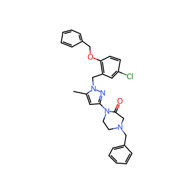 Cc1cc(N2CCN(Cc3ccccc3)CC2=O)nn1Cc1cc(Cl)ccc1OCc1ccccc1